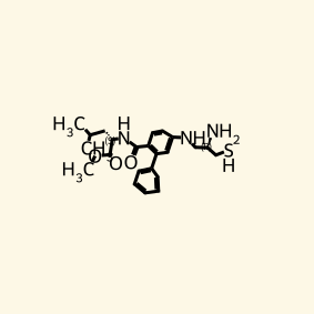 COC(=O)[C@H](CC(C)C)NC(=O)c1ccc(NC[C@@H](N)CS)cc1-c1ccccc1